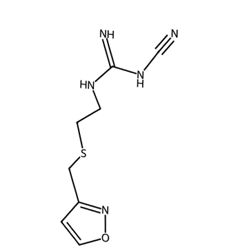 N#CNC(=N)NCCSCc1ccon1